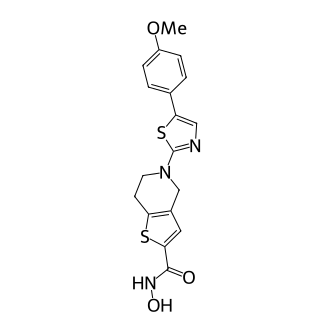 COc1ccc(-c2cnc(N3CCc4sc(C(=O)NO)cc4C3)s2)cc1